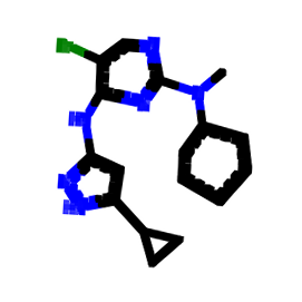 CN(c1ccccc1)c1ncc(Br)c(Nc2cc(C3CC3)[nH]n2)n1